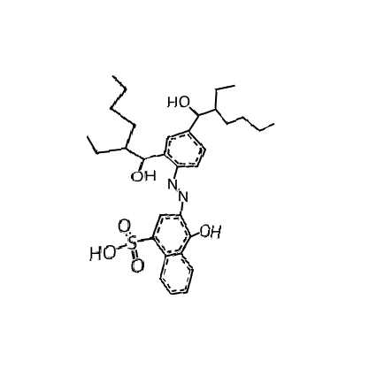 CCCCC(CC)C(O)c1ccc(/N=N/c2cc(S(=O)(=O)O)c3ccccc3c2O)c(C(O)C(CC)CCCC)c1